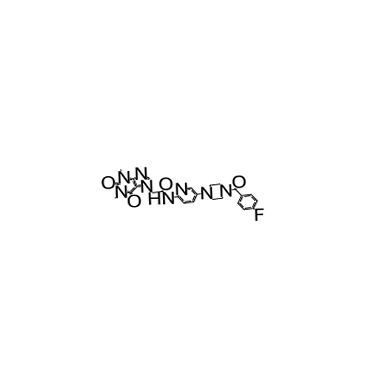 Cn1c(=O)c2c(ncn2CC(=O)Nc2ccc(N3CCN(C(=O)c4ccc(F)cc4)CC3)cn2)n(C)c1=O